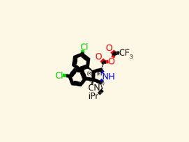 CC(C)C[C@H]1N[C@@H](C(=O)OC(=O)C(F)(F)F)[C@H](c2cccc(Cl)c2)[C@@]1(C#N)c1ccc(Cl)cc1